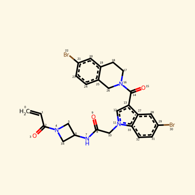 C=CC(=O)N1CC(NC(=O)Cn2cc(C(=O)N3CCc4cc(Br)ccc4C3)c3cc(Br)ccc32)C1